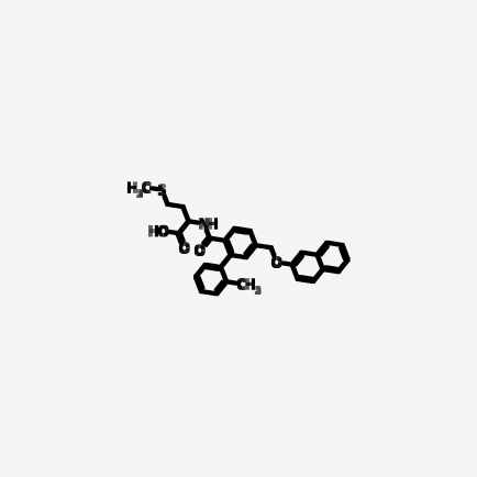 CSCCC(NC(=O)c1ccc(COc2ccc3ccccc3c2)cc1-c1ccccc1C)C(=O)O